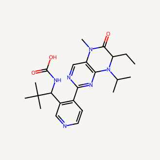 CCC1C(=O)N(C)c2cnc(-c3ccncc3C(NC(=O)O)C(C)(C)C)nc2N1C(C)C